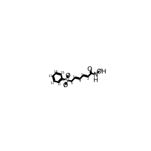 O=C(C=CC=CCS(=O)(=O)c1ccccc1)NO